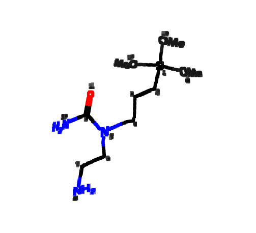 CO[Si](CCCN(CCN)C(N)=O)(OC)OC